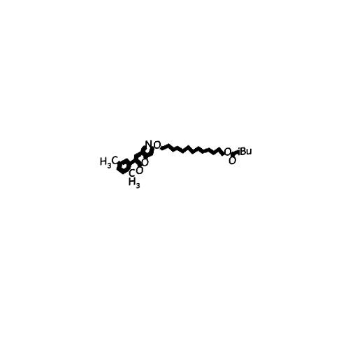 CCC(C)C(=O)OCCCCCCCCCCCCCOc1cc2oc(=O)c(-c3cc(C)ccc3C)cc2cn1